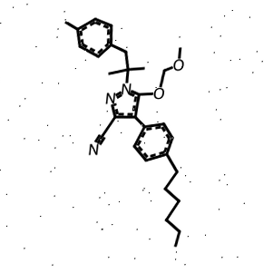 CCCCCCc1ccc(-c2c(C#N)nn(C(C)(C)Cc3ccc(C)cc3)c2OCOC)cc1